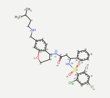 CC(C)CCNCc1ccc2c(c1)OCCC2NC(=O)CC(NS(=O)(=O)c1c(Cl)cc(Cl)cc1Cl)c1ccccc1